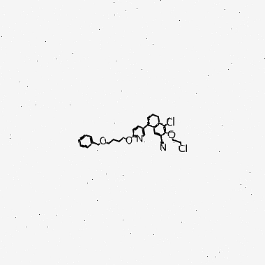 N#Cc1cc2c(c(Cl)c1OCCCl)CCC=C2c1ccc(OCCCCOCc2ccccc2)nc1